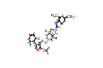 Cc1cc(C(=O)O)cc2sc(N3C[C@H]4C[C@H](OCc5c(-c6c(Cl)cccc6Cl)noc5C5CC5)C[C@H]4C3)nc12